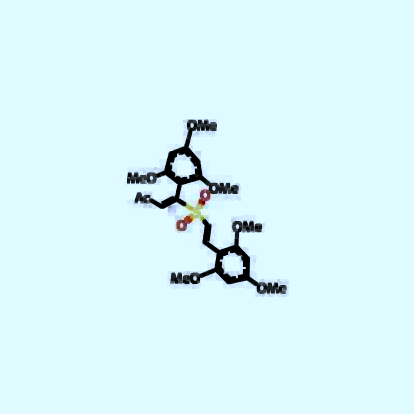 COc1cc(OC)c(C=CS(=O)(=O)/C(=C/C(C)=O)c2c(OC)cc(OC)cc2OC)c(OC)c1